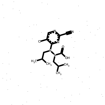 CC(C)CN(C(=O)O)N(CC(C)C)c1nc(C#N)ncc1Cl